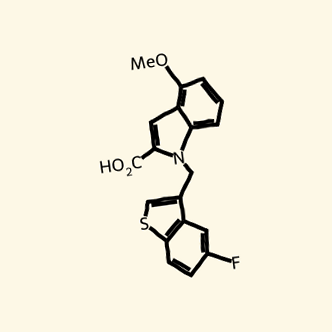 COc1cccc2c1cc(C(=O)O)n2Cc1csc2ccc(F)cc12